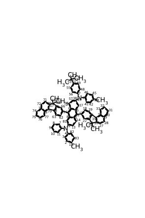 Cc1ccc(N(c2ccccc2)c2ccc3c(-c4ccc5c(c4)C(C)(C)c4ccc6ccccc6c4-5)c4cc(N(c5ccc(C)cc5)c5ccc(C(C)(C)C)cc5)ccc4c(-c4ccc5c(c4)C(C)(C)c4ccc6ccccc6c4-5)c3c2)cc1